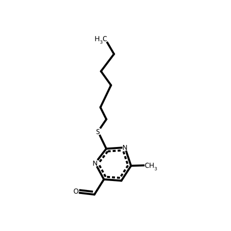 CCCCCCSc1nc(C)cc(C=O)n1